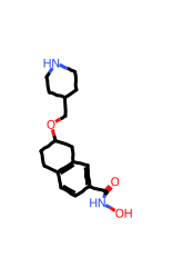 O=C(NO)c1ccc2c(c1)CC(OCC1CCNCC1)CC2